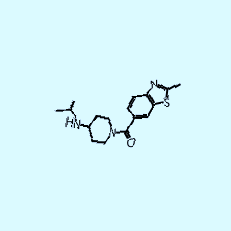 Cc1nc2ccc(C(=O)N3CCC(NC(C)C)CC3)cc2s1